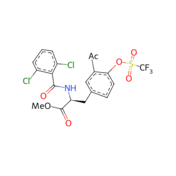 COC(=O)[C@H](Cc1ccc(OS(=O)(=O)C(F)(F)F)c(C(C)=O)c1)NC(=O)c1c(Cl)cccc1Cl